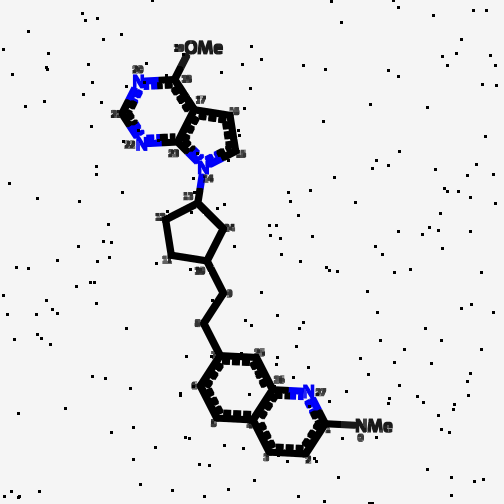 CNc1ccc2ccc(CCC3CCC(n4ccc5c(OC)ncnc54)C3)cc2n1